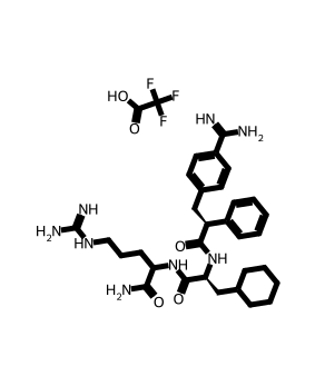 N=C(N)NCCCC(NC(=O)[C@H](CC1CCCCC1)NC(=O)[C@@H](Cc1ccc(C(=N)N)cc1)c1ccccc1)C(N)=O.O=C(O)C(F)(F)F